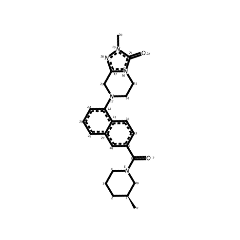 C[C@H]1CCCN(C(=O)c2ccc3c(N4CCn5c(nn(C)c5=O)C4)cccc3c2)C1